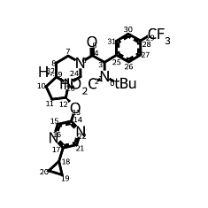 CC(C)(C)N(C(=O)O)C(C(=O)N1CC[C@@H]2CC[C@H](Oc3cnc(C4CC4)cn3)N2C1)c1ccc(C(F)(F)F)cc1